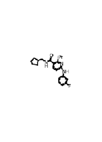 CC(C)c1nc(Nc2cccc(F)c2)ccc1C(=O)NCC1CCCC1